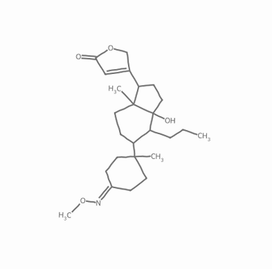 CCCC1C(C2(C)CCC(=NOC)CC2)CCC2(C)C(C3=CC(=O)OC3)CCC12O